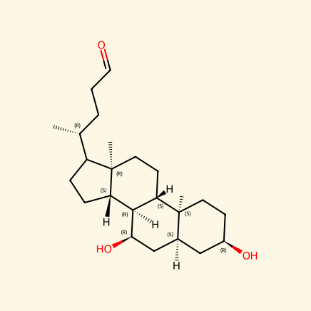 C[C@H](CCC=O)C1CC[C@H]2[C@@H]3[C@H](O)C[C@@H]4C[C@H](O)CC[C@]4(C)[C@H]3CC[C@]12C